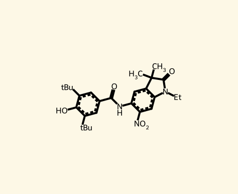 CCN1C(=O)C(C)(C)c2cc(NC(=O)c3cc(C(C)(C)C)c(O)c(C(C)(C)C)c3)c([N+](=O)[O-])cc21